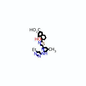 CCc1cc(Nc2cc(C)cc(-c3cnc(C4(O)CCCc5cc(C(=O)O)ccc54)s3)n2)ncn1